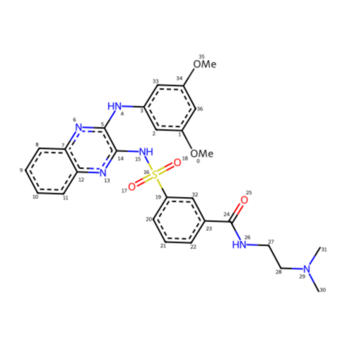 COc1cc(Nc2nc3ccccc3nc2NS(=O)(=O)c2cccc(C(=O)NCCN(C)C)c2)cc(OC)c1